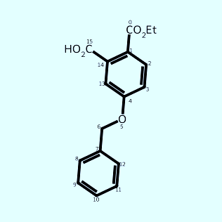 CCOC(=O)c1ccc(OCc2ccccc2)cc1C(=O)O